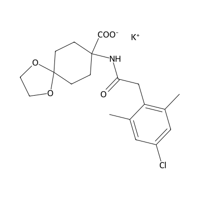 Cc1cc(Cl)cc(C)c1CC(=O)NC1(C(=O)[O-])CCC2(CC1)OCCO2.[K+]